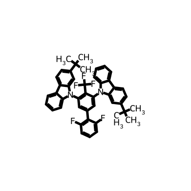 CC(C)(C)c1ccc2c3ccccc3n(-c3cc(-c4c(F)cccc4F)cc(-n4c5ccccc5c5ccc(C(C)(C)C)cc54)c3C(F)(F)F)c2c1